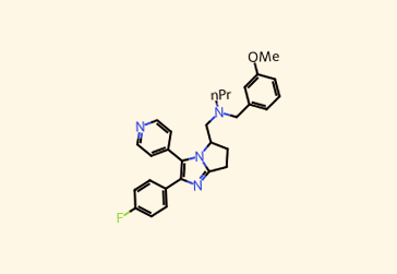 CCCN(Cc1cccc(OC)c1)CC1CCc2nc(-c3ccc(F)cc3)c(-c3ccncc3)n21